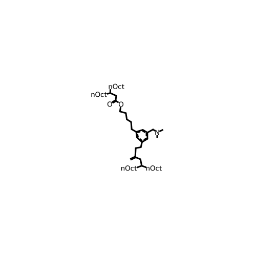 C=C(CCc1cc(CCCCCOC(=O)CC(CCCCCCCC)CCCCCCCC)cc(CN(C)C)c1)CC(CCCCCCCC)CCCCCCCC